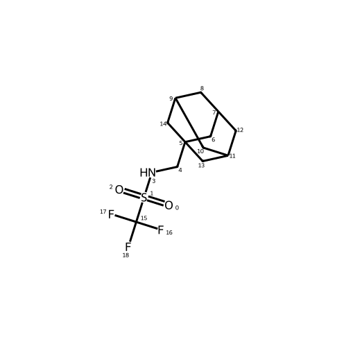 O=S(=O)(NCC12CC3CC(CC(C3)C1)C2)C(F)(F)F